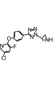 Fc1cc(Cl)cnc1Oc1ccc(-c2nnn(C3CNC3)n2)cc1